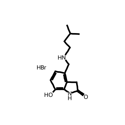 Br.CC(C)CCNCc1ccc(O)c2c1CC(=O)N2